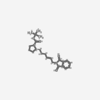 CC(C)(C)OC(=O)N1CCC[C@H]1CSCC=CCN1C(=O)c2ccccc2C1=O